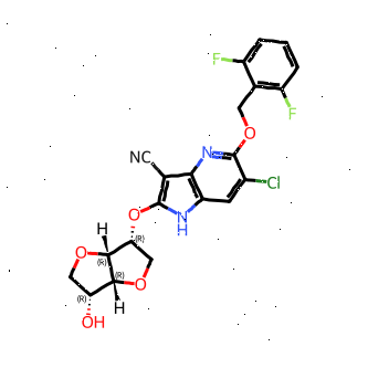 N#Cc1c(O[C@@H]2CO[C@H]3[C@@H]2OC[C@H]3O)[nH]c2cc(Cl)c(OCc3c(F)cccc3F)nc12